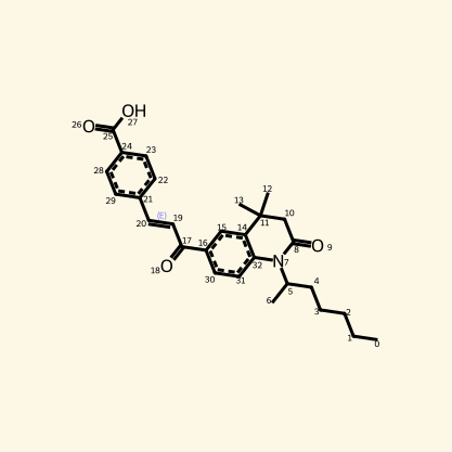 CCCCCC(C)N1C(=O)CC(C)(C)c2cc(C(=O)/C=C/c3ccc(C(=O)O)cc3)ccc21